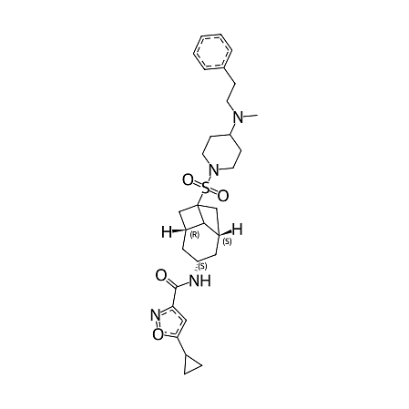 CN(CCc1ccccc1)C1CCN(S(=O)(=O)C23C[C@H]4C[C@@H](NC(=O)c5cc(C6CC6)on5)C[C@@H](C2)C43)CC1